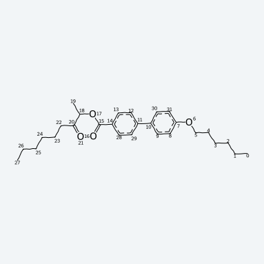 CCCCCCOc1ccc(-c2ccc(C(=O)OC(C)C(=O)CCCCCC)cc2)cc1